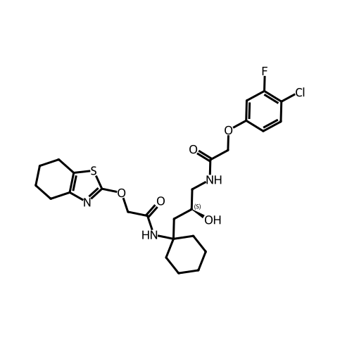 O=C(COc1ccc(Cl)c(F)c1)NC[C@@H](O)CC1(NC(=O)COc2nc3c(s2)CCCC3)CCCCC1